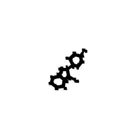 Fc1ccc(-c2sc3ccccc3c2I)cc1